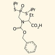 CCC(C(=O)O)N(CP(=O)(SC(C)C)SC(C)C)C(=O)OCc1ccccc1